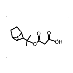 CC(C)(OC(=O)CC(=O)O)C1CC2CCC1S2